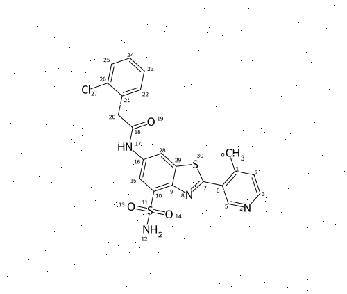 Cc1ccncc1-c1nc2c(S(N)(=O)=O)cc(NC(=O)Cc3ccccc3Cl)cc2s1